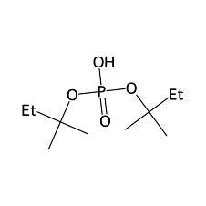 CCC(C)(C)OP(=O)(O)OC(C)(C)CC